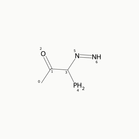 CC(=O)C(P)N=N